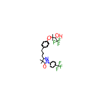 CC1(C)C(=O)N(c2ccc(C(F)(F)F)cc2)N=C1CCCc1ccc(OC(C)(C)C(O)C(F)(F)F)cc1